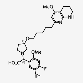 COc1cc(F)c(C(C)C)cc1[C@@H](C(=O)O)N1CC[C@@H](OCCCCCc2cc(OC)c3c(n2)NCCC3)C1